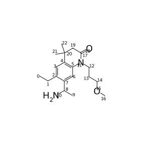 CCc1cc2c(cc1C(C)N)N(CCCOC)C(=O)CC2(C)C